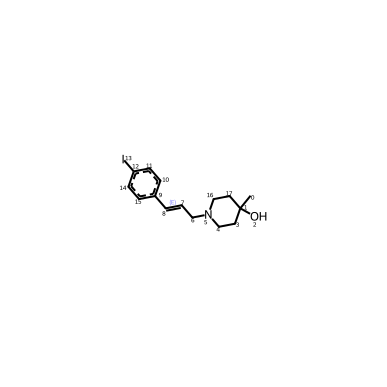 CC1(O)CCN(C/C=C/c2ccc(I)cc2)CC1